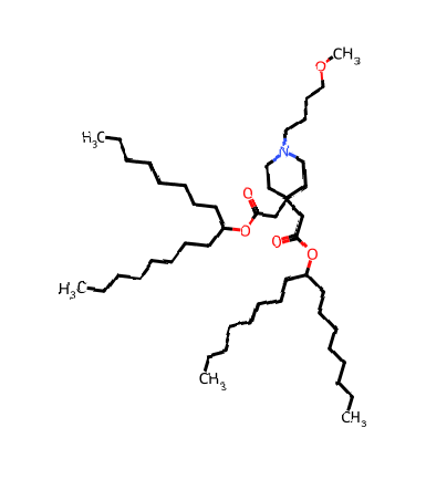 CCCCCCCCC(CCCCCCCC)OC(=O)CC1(CC(=O)OC(CCCCCCCC)CCCCCCCC)CCN(CCCCOC)CC1